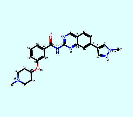 CC(C)n1cc(-c2ccc3cnc(NC(=O)c4cccc(OC5CCN(C)CC5)c4)nc3c2)cn1